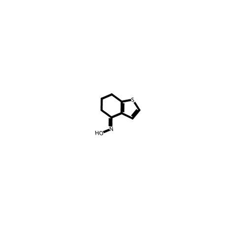 O/N=C1\CCCc2sccc21